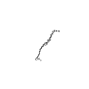 CCCCCCCCCCCCCCOCCOCCOCCOCCOCCOCCO